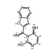 N=C(c1cc2ccccc2o1)n1c(O)nccc1=N